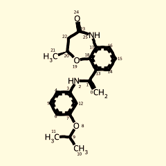 C=C(Nc1cccc(OC(C)C)c1)c1cccc2c1O[C@@H](C)CC(=O)N2